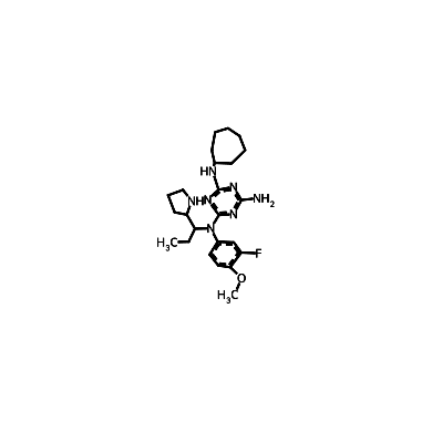 CCC(C1CCCN1)N(c1ccc(OC)c(F)c1)c1nc(N)nc(NC2CCCCCC2)n1